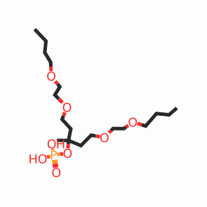 CCCCOCCOCCC(C)(CCOCCOCCCC)OP(=O)(O)O